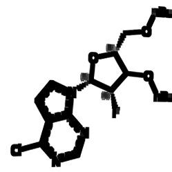 CCCCOC[C@H]1O[C@@H](n2ccc3c(Cl)ncnc32)[C@@H](F)C1OCCCC